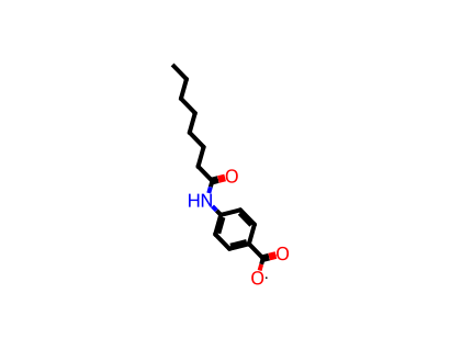 CCCCCCCC(=O)Nc1ccc(C([O])=O)cc1